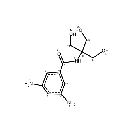 Nc1cc(N)cc(C(=O)NC(CO)(CO)CO)c1